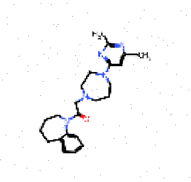 Cc1cc(N2CCCN(CC(=O)N3CCCCc4ccccc43)CC2)nc(C)n1